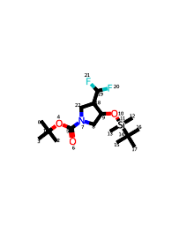 CC(C)(C)OC(=O)N1CC(O[Si](C)(C)C(C)(C)C)C(C(F)F)C1